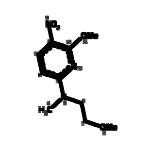 COCCN(C)c1ccc([N+](=O)[O-])c(OC)n1